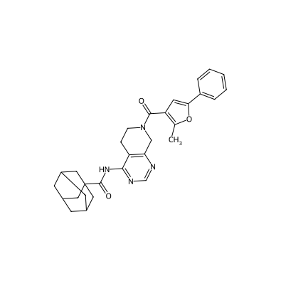 Cc1oc(-c2ccccc2)cc1C(=O)N1CCc2c(ncnc2NC(=O)C23CC4CC(CC(C4)C2)C3)C1